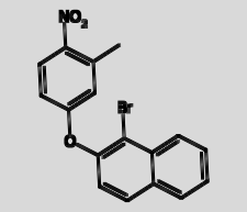 Cc1cc(Oc2ccc3ccccc3c2Br)ccc1[N+](=O)[O-]